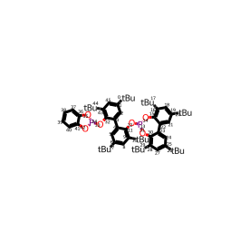 CC(C)(C)c1cc(-c2cc(C(C)(C)C)cc(C(C)(C)C)c2Op2oc3c(C(C)(C)C)cc(C(C)(C)C)cc3c3cc(C(C)(C)C)cc(C(C)(C)C)c3o2)c(OP2Oc3ccccc3O2)c(C(C)(C)C)c1